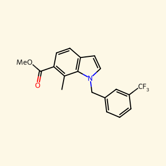 COC(=O)c1ccc2ccn(Cc3cccc(C(F)(F)F)c3)c2c1C